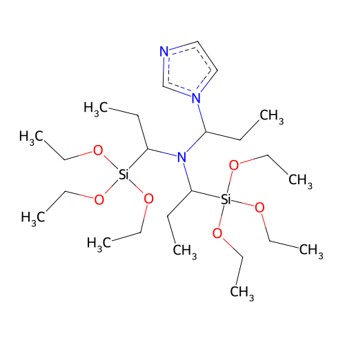 CCO[Si](OCC)(OCC)C(CC)N(C(CC)n1ccnc1)C(CC)[Si](OCC)(OCC)OCC